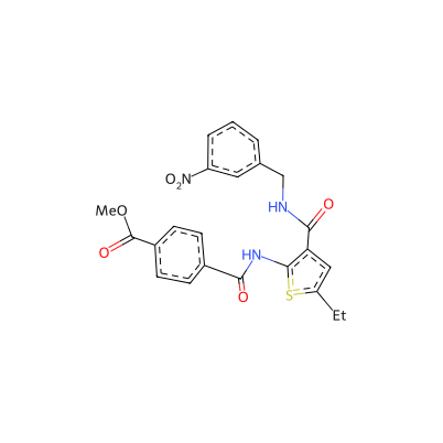 CCc1cc(C(=O)NCc2cccc([N+](=O)[O-])c2)c(NC(=O)c2ccc(C(=O)OC)cc2)s1